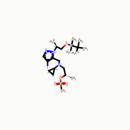 C[C@@H](CN(Cc1c(I)cnn1[C@@H](C)CO[Si](C)(C)C(C)(C)C)C1CC1)OS(C)(=O)=O